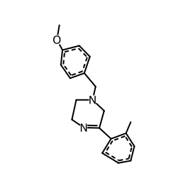 COc1ccc(CN2CCN=C(c3ccccc3C)C2)cc1